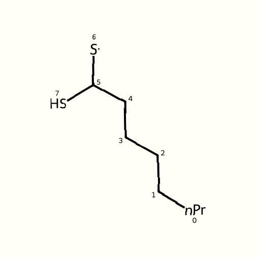 CCCCCCCC([S])S